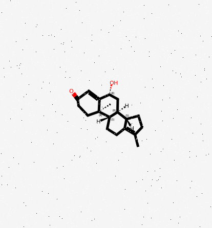 CC1=C2CC[C@H]3[C@@H](C[C@@H](O)C4=CC(=O)CC[C@@]43C)[C@@H]2CC1